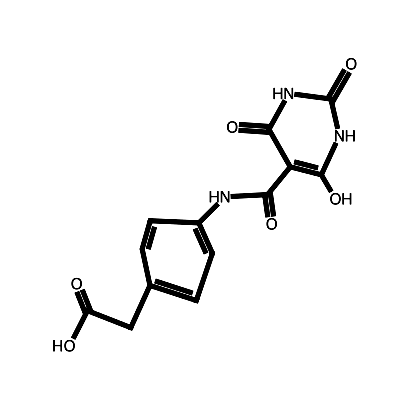 O=C(O)Cc1ccc(NC(=O)c2c(O)[nH]c(=O)[nH]c2=O)cc1